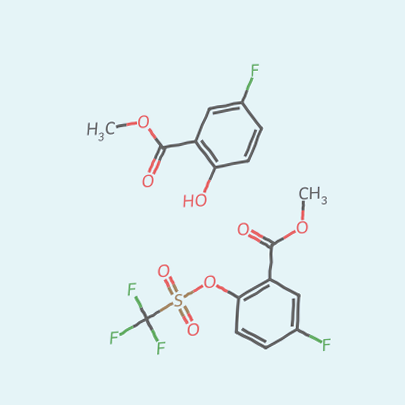 COC(=O)c1cc(F)ccc1O.COC(=O)c1cc(F)ccc1OS(=O)(=O)C(F)(F)F